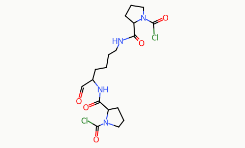 O=CC(CCCCNC(=O)C1CCCN1C(=O)Cl)NC(=O)C1CCCN1C(=O)Cl